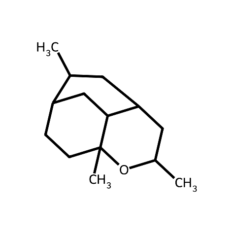 CC1CC2CC(C)C3CCC(C)(O1)C2C3